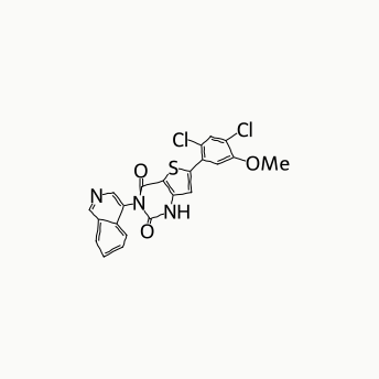 COc1cc(-c2cc3[nH]c(=O)n(-c4cncc5ccccc45)c(=O)c3s2)c(Cl)cc1Cl